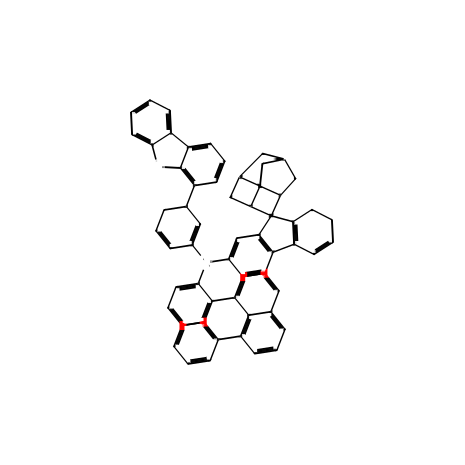 C1=CC2=C(CC1)C1(c3cc(N(C4=CC(c5cccc6c5oc5ccccc56)CC=C4)c4ccccc4-c4cccc5cccc(-c6ccccc6)c45)ccc32)C2CC3CC4CC1C42C3